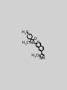 CCC1(C(=O)Nc2cc3cc(-c4cnnn4C)ccc3cn2)CCN(C)CC1